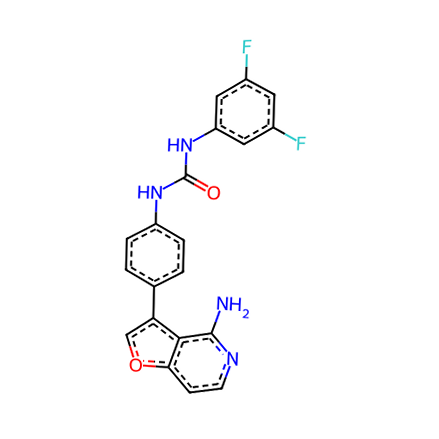 Nc1nccc2occ(-c3ccc(NC(=O)Nc4cc(F)cc(F)c4)cc3)c12